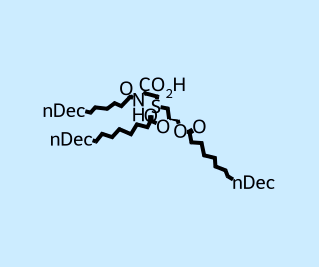 CCCCCCCCCCCCCCCCCC(=O)OC[C@H](CSC[C@@H](NC(=O)CCCCCCCCCCCCCCC)C(=O)O)OC(=O)CCCCCCCCCCCCCCCCC